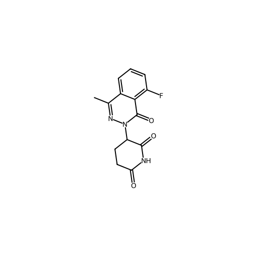 Cc1nn(C2CCC(=O)NC2=O)c(=O)c2c(F)cccc12